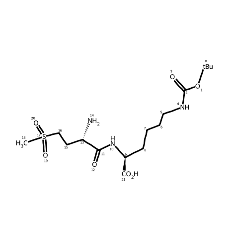 CC(C)(C)OC(=O)NCCCC[C@H](NC(=O)[C@@H](N)CCS(C)(=O)=O)C(=O)O